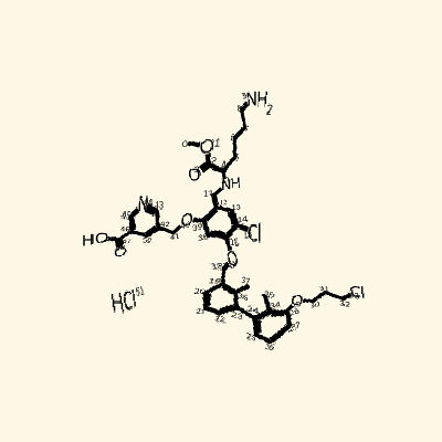 COC(=O)C(CCCCN)NCc1cc(Cl)c(OCc2cccc(-c3cccc(OCCCCl)c3C)c2C)cc1OCc1cncc(C(=O)O)c1.Cl